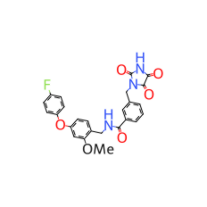 COc1cc(Oc2ccc(F)cc2)ccc1CNC(=O)c1cccc(CN2C(=O)NC(=O)C2=O)c1